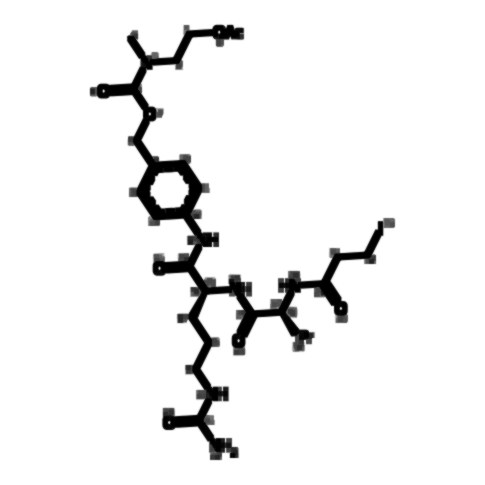 CC(=O)OCCN(C)C(=O)OCc1ccc(NC(=O)[C@H](CCCNC(N)=O)NC(=O)[C@@H](NC(=O)CCI)C(C)C)cc1